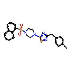 Cc1ccc(Cc2nsc(N3CCN(S(=O)(=O)c4cccc5ccccc45)CC3)n2)cc1